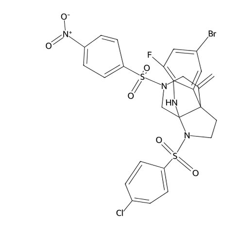 C=C1CN(S(=O)(=O)c2ccc([N+](=O)[O-])cc2)CC23Nc4c(F)cc(Br)cc4C12CCN3S(=O)(=O)c1ccc(Cl)cc1